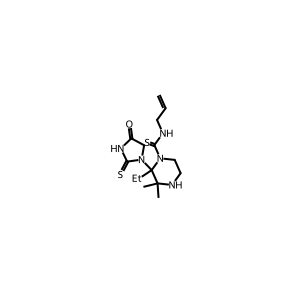 C=CCNC(=S)N1CCNC(C)(C)C1(CC)N1CC(=O)NC1=S